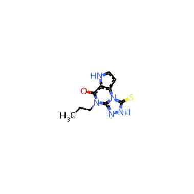 CCCn1c(=O)c2[nH]ccc2n2c(=S)[nH]nc12